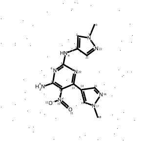 Cn1cc(Nc2nc(N)c([N+](=O)[O-])c(-c3cnn(C)c3)n2)cn1